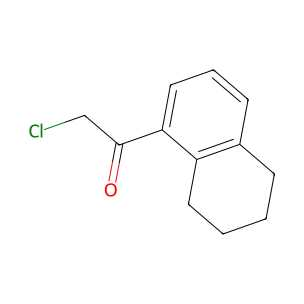 O=C(CCl)c1cccc2c1CCCC2